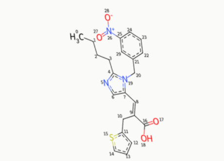 CCCCc1ncc(/C=C(\Cc2cccs2)C(=O)O)n1Cc1cccc([N+](=O)[O-])c1